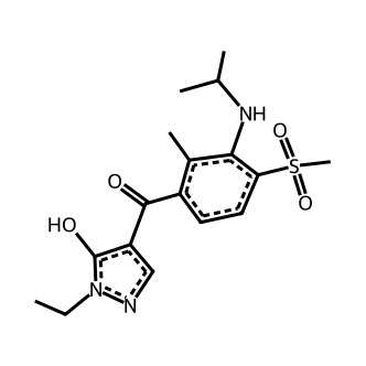 CCn1ncc(C(=O)c2ccc(S(C)(=O)=O)c(NC(C)C)c2C)c1O